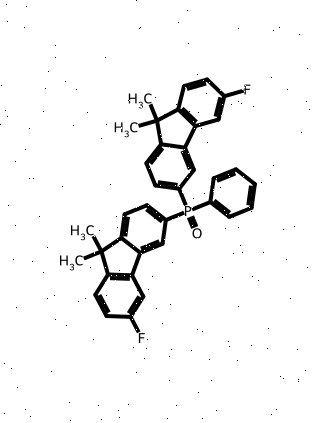 CC1(C)c2ccc(F)cc2-c2cc(P(=O)(c3ccccc3)c3ccc4c(c3)-c3cc(F)ccc3C4(C)C)ccc21